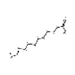 O=C(Cl)CCCCCCCCCCS